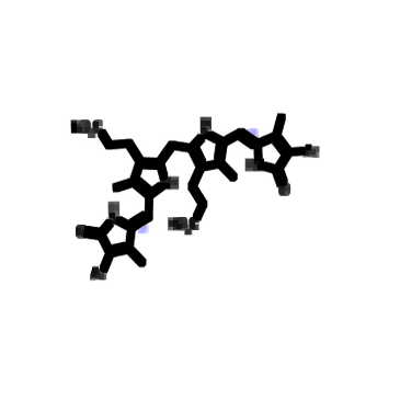 CC(=O)C1=C(C)/C(=C/c2[nH]c(Cc3[nH]c(/C=C4\NC(=O)C(C(C)=O)=C4C)c(C)c3CCC(=O)O)c(CCC(=O)O)c2C)NC1=O